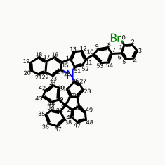 Brc1ccccc1-c1ccc(-c2ccc3c4cc5ccccc5cc4n(-c4ccc5c(c4)C(c4ccccc4)(c4ccccc4)c4ccccc4-5)c3c2)cc1